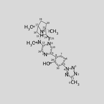 Cc1nnn(-c2ccc(-c3cnc(N(C)[C@@H]4C[C@@]5(C)CC[C@](C)(N5)[C@H]4F)cn3)c(O)c2)n1